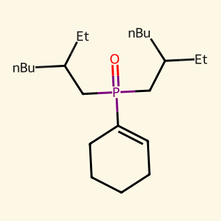 CCCCC(CC)CP(=O)(CC(CC)CCCC)C1=CCCCC1